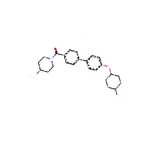 O=C(O)C1CCN(C(=O)c2ccc(-c3ccc(OC4CCC(C(F)(F)F)CC4)cc3)cc2)CC1